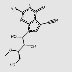 CO[C@H](CO)[C@@H](O)[C@H](O)n1cc(C#N)c2c(=O)[nH]c(N)nc21